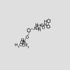 CC(C)(C)OC(=O)CCOCCc1cccc(CCN2C[C@H]3C[C@H](OC(=O)Nc4ccccc4-c4ccccc4)C[C@H]3C2)c1